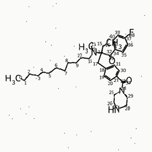 CCCCCCCCCCCCN(C)C(CC)(Cc1ccc(C(=O)N2CCNCC2)cc1)C(=O)c1ccc(F)cc1